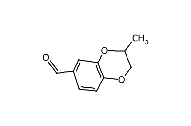 CC1COc2ccc(C=O)cc2O1